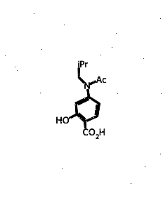 CC(=O)N(CC(C)C)c1ccc(C(=O)O)c(O)c1